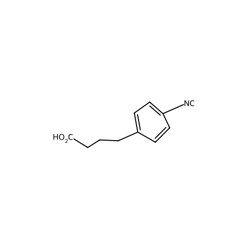 [C-]#[N+]c1ccc(CCCC(=O)O)cc1